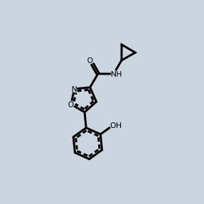 O=C(NC1CC1)c1cc(-c2ccccc2O)on1